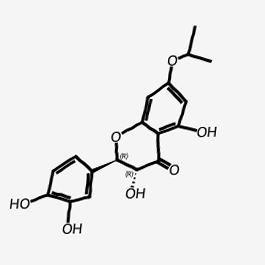 CC(C)Oc1cc(O)c2c(c1)O[C@H](c1ccc(O)c(O)c1)[C@@H](O)C2=O